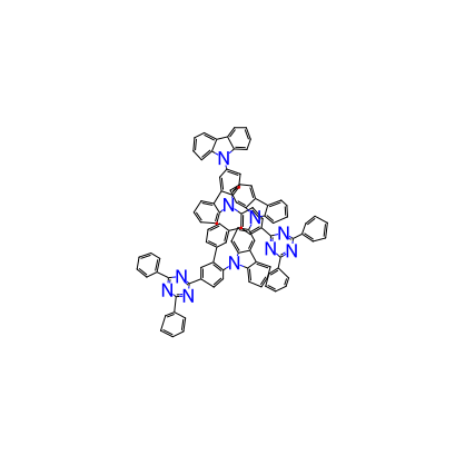 c1ccc(-c2nc(-c3ccccc3)nc(-c3ccc(-n4c5ccccc5c5cc(-n6c7ccccc7c7ccccc76)ccc54)c(-c4cccc(-c5cc(-c6nc(-c7ccccc7)nc(-c7ccccc7)n6)ccc5-n5c6ccccc6c6cc(-n7c8ccccc8c8ccccc87)ccc65)c4)c3)n2)cc1